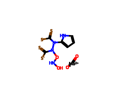 ONON(C(=S)[S-])N(C(=S)[S-])c1ccc[nH]1.[O]=[Mo+2]=[O]